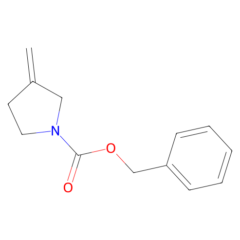 C=C1CCN(C(=O)OCc2ccccc2)C1